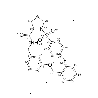 O=C(NCc1cccc(OCc2ccccc2)c1)C1CCCN1S(=O)(=O)c1ccc(F)cc1